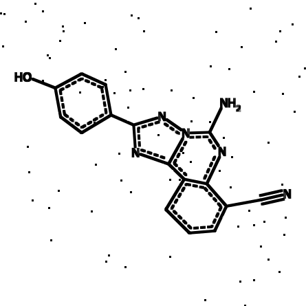 N#Cc1cccc2c1nc(N)n1nc(-c3ccc(O)cc3)nc21